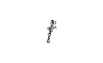 C=C(C)C(=O)OCCNC(=O)OCCOCCCCOC